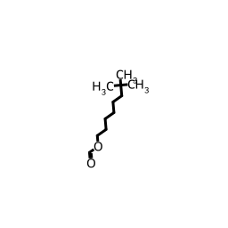 CC(C)(C)CCCCCCOC=O